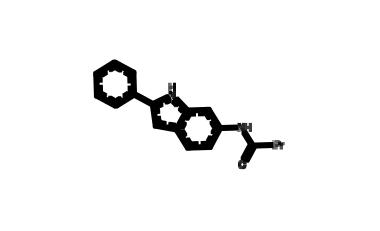 CC(C)C(=O)Nc1ccc2cc(-c3ccccc3)[nH]c2c1